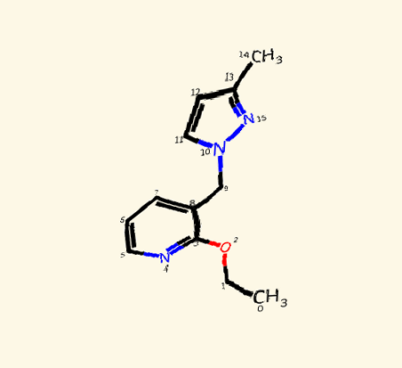 CCOc1ncccc1Cn1ccc(C)n1